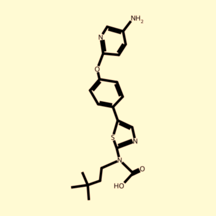 CC(C)(C)CCN(C(=O)O)c1ncc(-c2ccc(Oc3ccc(N)cn3)cc2)s1